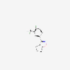 Fc1ccc(C2=NOC3CCCC23)cc1C(F)(F)F